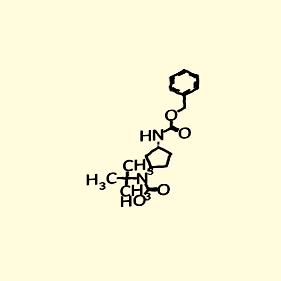 CC(C)(C)N(C(=O)O)[C@H]1CC[C@@H](NC(=O)OCc2ccccc2)C1